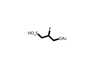 CC(=O)OCC(F)CS(=O)(=O)O